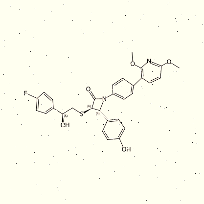 COc1ccc(-c2ccc(N3C(=O)[C@H](SC[C@@H](O)c4ccc(F)cc4)[C@H]3c3ccc(O)cc3)cc2)c(OC)n1